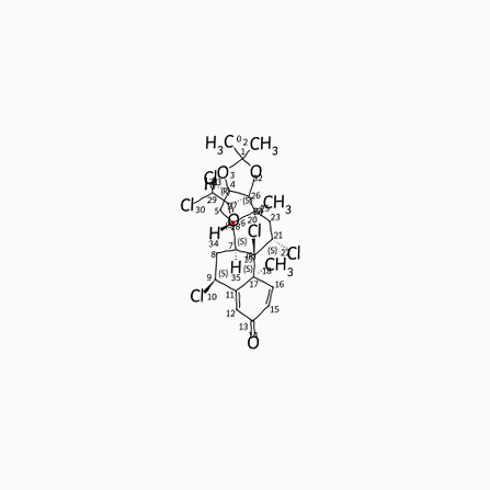 CC1(C)O[C@@H]2C[C@H]3[C@@H]4C[C@H](Cl)C5=CC(=O)C=C[C@]5(C)[C@@]4(Cl)[C@@H](Cl)C[C@]3(C)[C@]2(C(=O)C(Cl)Cl)O1